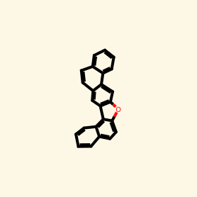 c1ccc2c(c1)ccc1cc3c(cc12)oc1ccc2ccccc2c13